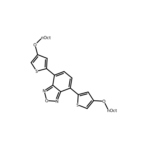 CCCCCCCCOc1csc(-c2ccc(-c3cc(OCCCCCCCC)cs3)c3nonc23)c1